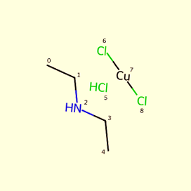 CCNCC.Cl.[Cl][Cu][Cl]